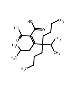 CCCCC(CCCC)(C(CC(C)C)=C(C(=O)O)C(=O)O)C(C)C